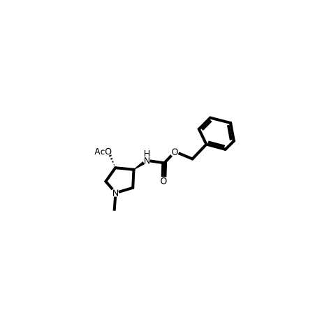 CC(=O)O[C@H]1CN(C)C[C@@H]1NC(=O)OCc1ccccc1